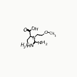 CCC(C(=O)O)N(CCOC)C(=N)N